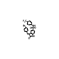 O=C1Nc2ccc(S(=O)(=O)Nc3ccc(C(F)(F)F)cc3)cc2C1=Cc1ccc(Br)cc1